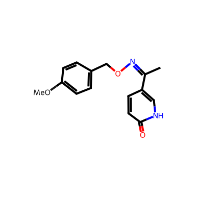 COc1ccc(CON=C(C)c2ccc(=O)[nH]c2)cc1